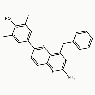 Cc1cc(-c2ccc3nc(N)nc(Cc4ccccc4)c3n2)cc(C)c1O